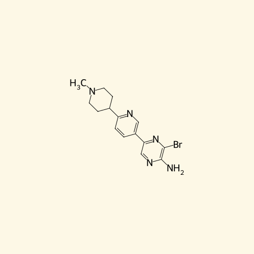 CN1CCC(c2ccc(-c3cnc(N)c(Br)n3)cn2)CC1